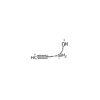 C#C[SiH2]O